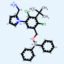 CC(C)(C)c1c(Cl)c(CO[SiH](c2ccccc2)c2ccccc2)cc(-n2cccc2CN)c1Cl